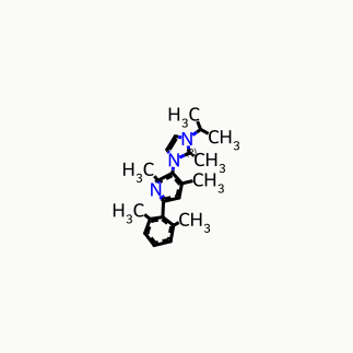 Cc1cccc(C)c1-c1cc(C)c(N2C=CN(C(C)C)[C@H]2C)c(C)n1